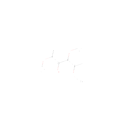 CC(OC(C)(C)C)C(O)C(OC(C)(C)C)C(C)OC(C)(C)C